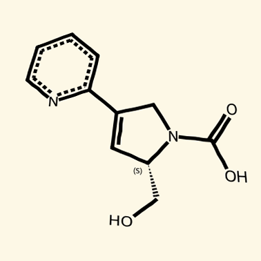 O=C(O)N1CC(c2ccccn2)=C[C@H]1CO